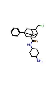 NC1CCC(NC(=S)C23CC4CC(c5ccccc5)(CC(C2)C4CCl)C3)CC1